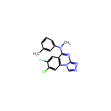 Cc1cccc(N(C)c2nc3nncn3c3cc(Cl)c(F)cc23)c1